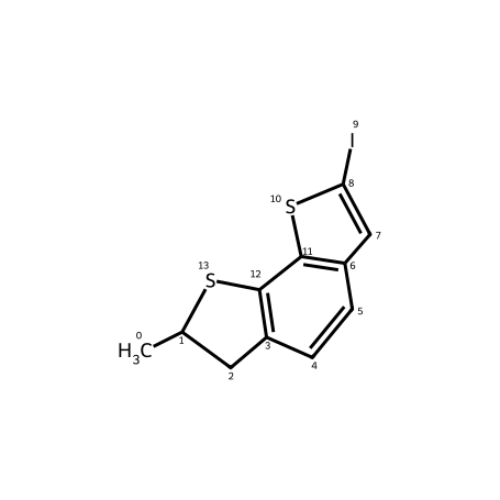 CC1Cc2ccc3cc(I)sc3c2S1